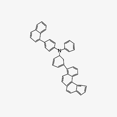 C1=CC(N(c2ccccc2)c2ccc(-c3cccc4ccccc34)cc2)CC(c2cccc3c2ccc2ccc4ccccc4c23)=C1